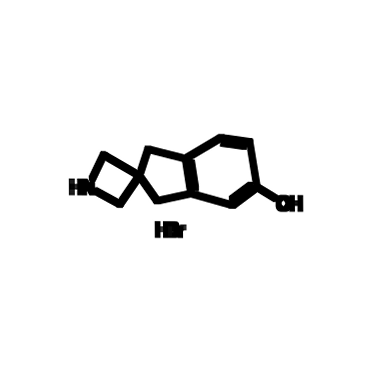 Br.Oc1ccc2c(c1)CC1(CNC1)C2